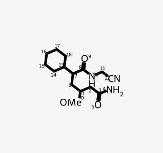 COC(CC(N)=O)CC(C(=O)NCC#N)C1CCCCC1